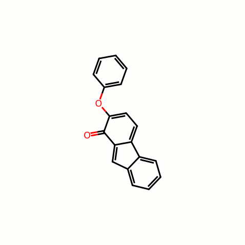 O=C1C(Oc2ccccc2)=CC=C2C1=Cc1ccccc12